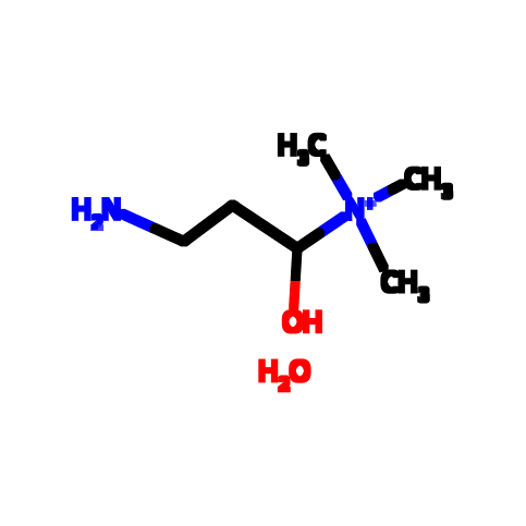 C[N+](C)(C)C(O)CCN.O